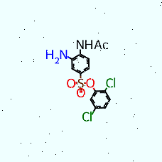 CC(=O)Nc1ccc(S(=O)(=O)Oc2cc(Cl)ccc2Cl)cc1N